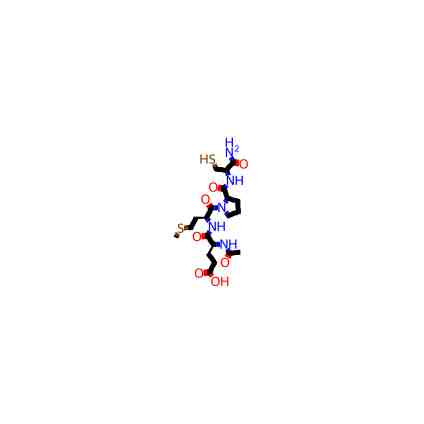 CSCC[C@H](NC(=O)[C@H](CCC(=O)O)NC(C)=O)C(=O)N1CCCC1C(=O)NC(CS)C(N)=O